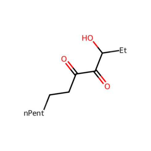 CCCCCCCC(=O)C(=O)C(O)CC